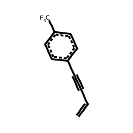 C=CC#Cc1ccc(C(F)(F)F)cc1